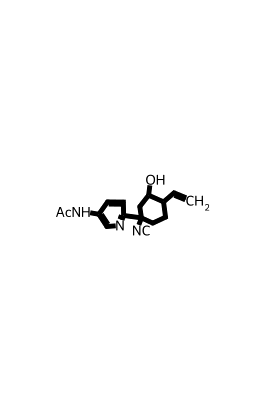 C=CC1CCC(C#N)(c2ccc(NC(C)=O)cn2)CC1O